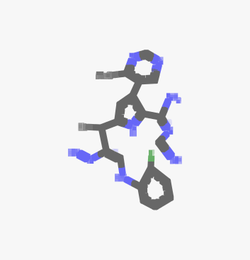 CCC(/C(=C/Nc1ccccc1F)N=N)c1cc(-c2cncnc2OC)c(/C(N)=N\C=N)[nH]1